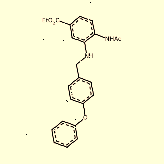 CCOC(=O)c1ccc(NC(C)=O)c(NCc2ccc(Oc3ccccc3)cc2)c1